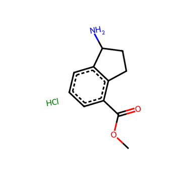 COC(=O)c1cccc2c1CCC2N.Cl